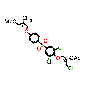 COC[C@H](C)COc1ccc(S(=O)(=O)c2cc(Cl)c(OC[C@@H](CCl)OC(C)=O)c(Cl)c2)cc1